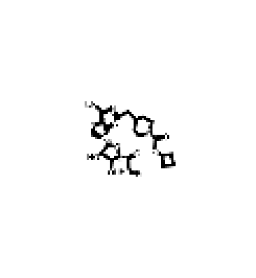 CCNC(=O)[C@H]1O[C@@H](n2cnc3c(N)nc(CC4CCN(C(=O)OC5CCC5)CC4)nc32)C(O)C1O